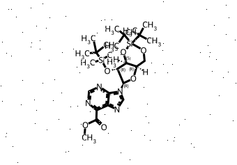 COC(=O)c1ncnc2c1ncn2[C@@H]1O[C@@H]2CO[Si](C(C)(C)C)(C(C)(C)C)O[C@@H]2[C@H]1O[Si](C)(C)C(C)(C)C